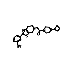 CC(C)c1cccc(-c2nc3c(s2)CN(CC(=O)N2CCN(C4CCC4)CC2)CC3)c1